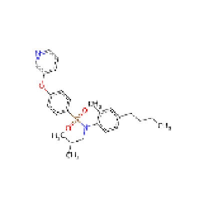 CCCCc1ccc(N(CC(C)C)S(=O)(=O)c2ccc(Oc3cccnc3)cc2)c(C)c1